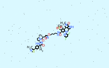 Cc1ncsc1-c1ccc([C@]2(C)NC([C@@H]3CCCN3C(=O)C(c3cc(OCCCCCNC(=O)c4cc5c(cc4CS(C)(=O)=O)-c4cn(C)c(=O)c6[nH]cc(c46)CN5c4ncc(F)cc4F)no3)C(C)C)=NC2=O)cc1